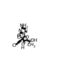 C[C@H](O)[C@H]1O[C@@H](n2ncc(N)nc2=O)[C@@](Cl)(C#CCl)C1O